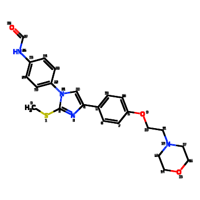 CSc1nc(-c2ccc(OCCN3CCOCC3)cc2)cn1-c1ccc(NC=O)cc1